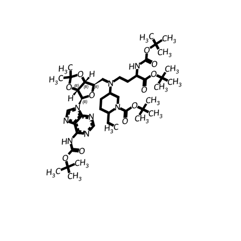 CCC1CCC(N(CCC(NC(=O)OC(C)(C)C)C(=O)OC(C)(C)C)C[C@H]2O[C@@H](n3cnc4c(NC(=O)OC(C)(C)C)ncnc43)[C@@H]3OC(C)(C)O[C@@H]32)CN1C(=O)OC(C)(C)C